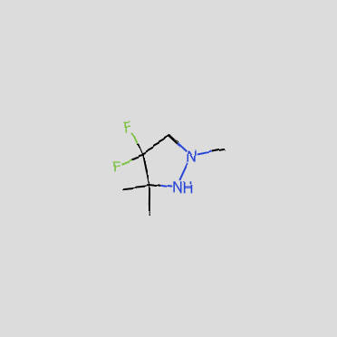 CN1CC(F)(F)C(C)(C)N1